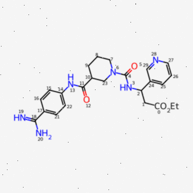 CCOC(=O)CC(NC(=O)N1CCCC(C(=O)Nc2ccc(C(=N)N)cc2)C1)c1cccnc1